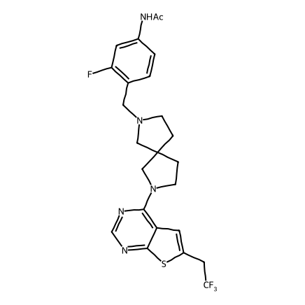 CC(=O)Nc1ccc(CN2CCC3(CCN(c4ncnc5sc(CC(F)(F)F)cc45)C3)C2)c(F)c1